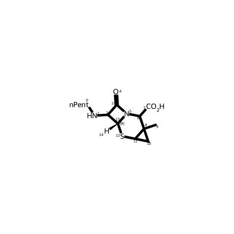 CCCCCNC1C(=O)N2C(C(=O)O)C3(C)CC3S[C@H]12